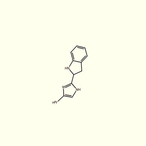 CCCc1c[nH]c(C2Cc3ccccc3N2)n1